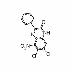 O=c1[nH]c2cc(Cl)c(Cl)c([N+](=O)[O-])c2nc1-c1ccccc1